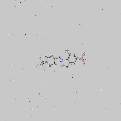 O=[N+]([O-])c1cc(Cl)c2c(c1)CCN2Cc1ccc(C(F)(F)F)cc1